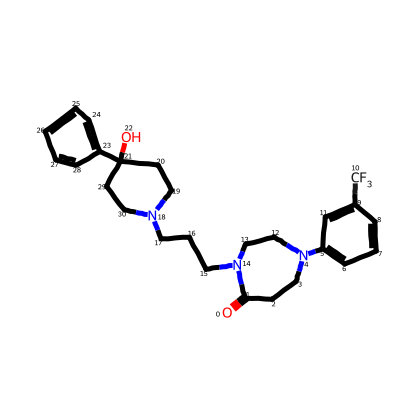 O=C1CCN(c2cccc(C(F)(F)F)c2)CCN1CCCN1CCC(O)(c2ccccc2)CC1